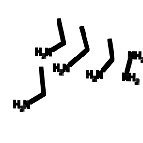 CCN.CCN.CCN.CCN.NN